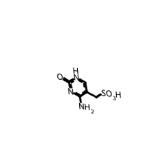 Nc1nc(=O)[nH]cc1CS(=O)(=O)O